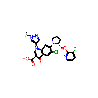 Cn1cc(-n2cc(C(=O)O)c(=O)c3cc(Cl)c(N4CCC[C@@H]4COc4ncccc4Cl)cc32)cn1